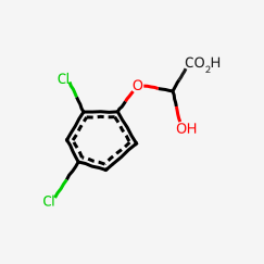 O=C(O)C(O)Oc1ccc(Cl)cc1Cl